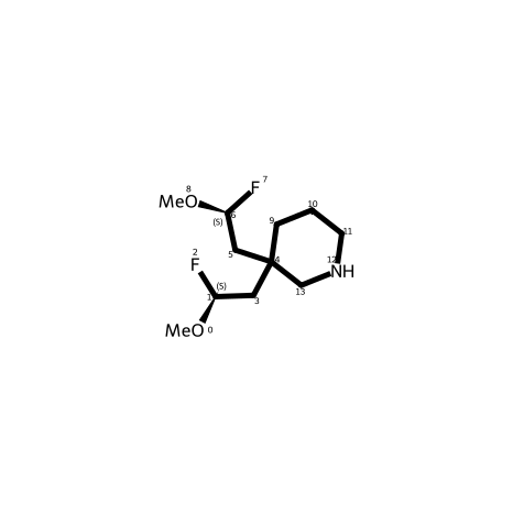 CO[C@@H](F)CC1(C[C@H](F)OC)C[CH]CNC1